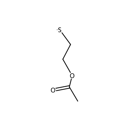 CC(=O)OCC[S]